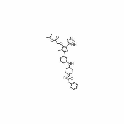 Cc1c(-c2cccc(NC3CCN(S(=O)(=O)Cc4ccccc4)CC3)c2)sc(-c2nnn[nH]2)c1OCC(=O)OC(C)C